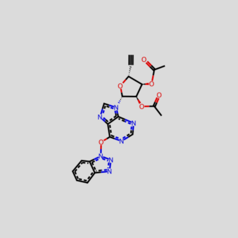 C#C[C@H]1O[C@@H](n2cnc3c(On4nnc5ccccc54)ncnc32)[C@H](OC(C)=O)[C@@H]1OC(C)=O